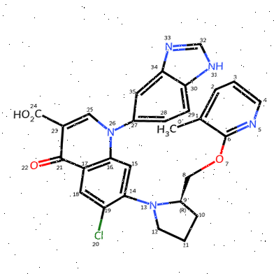 Cc1cccnc1OC[C@H]1CCCN1c1cc2c(cc1Cl)c(=O)c(C(=O)O)cn2-c1ccc2[nH]cnc2c1